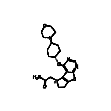 NC(=O)C[C@@H]1CCc2sc3ncnc(O[C@H]4CC[C@H](N5CCOCC5)CC4)c3c21